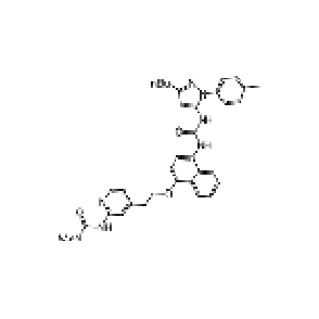 CCCCc1cc(NC(=O)Nc2ccc(OCCc3ccnc(NC(=O)NC)c3)c3ccccc23)n(-c2ccc(C)cc2)n1